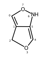 C1=C2COC=C2NO1